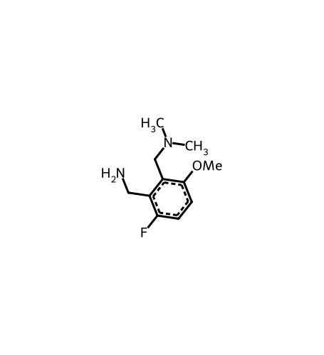 COc1ccc(F)c(CN)c1CN(C)C